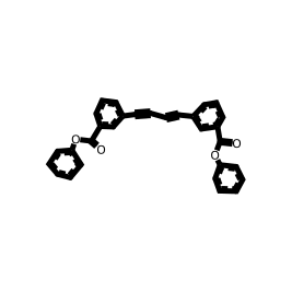 O=C(Oc1ccccc1)c1cccc(C#CC#Cc2cccc(C(=O)Oc3ccccc3)c2)c1